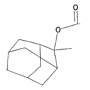 CC1(O[C]=O)C2CC3CC(C2)CC1C3